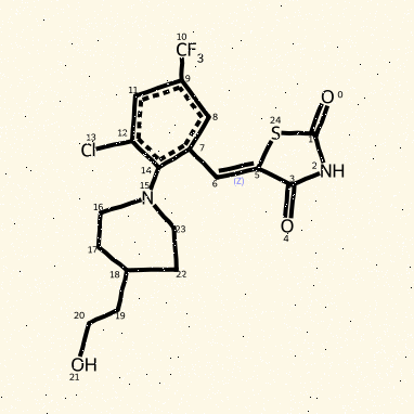 O=C1NC(=O)/C(=C/c2cc(C(F)(F)F)cc(Cl)c2N2CCC(CCO)CC2)S1